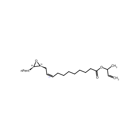 C=CC(C)OC(=O)CCCCCCC/C=C\C[C@@H]1O[C@@H]1CCCCC